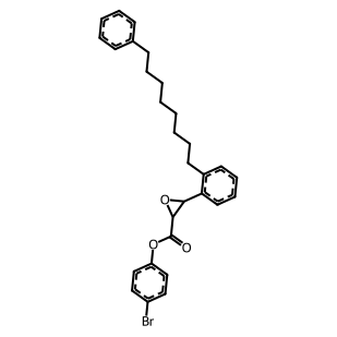 O=C(Oc1ccc(Br)cc1)C1OC1c1ccccc1CCCCCCCCc1ccccc1